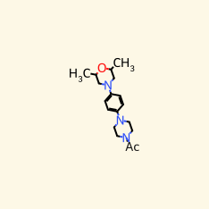 CC(=O)N1CCN(c2ccc(N3CC(C)OC(C)C3)cc2)CC1